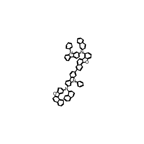 c1ccc(-n2c3cc(-c4ccc5c(ccc6c5oc5cccc(N(c7ccc8ccccc8c7)c7ccc8c9ccccc9n(-c9ccccc9)c8c7)c56)c4)ccc3c3ccc(N(c4ccc5oc6ccc7ccccc7c6c5c4)c4cccc5ccccc45)cc32)cc1